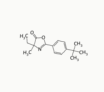 CCC1(C)N=C(c2ccc(C(C)(C)C)cc2)OC1=O